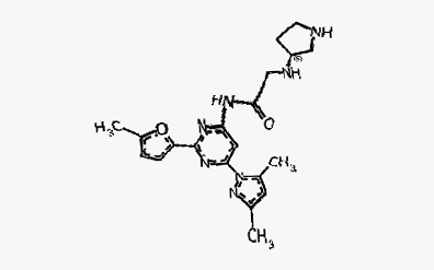 Cc1cc(C)n(-c2cc(NC(=O)CN[C@H]3CCNC3)nc(-c3ccc(C)o3)n2)n1